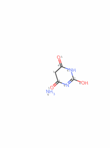 N.O=C1CC(=O)NC(O)=N1